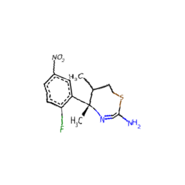 CC1CSC(N)=N[C@]1(C)c1cc([N+](=O)[O-])ccc1F